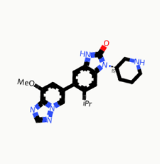 COc1cc(-c2cc3[nH]c(=O)n([C@H]4CCCNC4)c3cc2C(C)C)cn2ncnc12